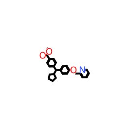 COC(=O)c1ccc(C(c2ccc(OCc3ccccn3)cc2)C2CCCC2)cc1